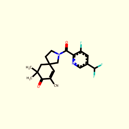 CC1(C)CC2(C=C(C#N)C1=O)CCN(C(=O)c1ncc(C(F)F)cc1F)C2